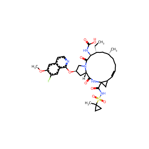 CC[C@@H]1C[C@H](C)CC/C=C\C2CC2(C(=O)NS(=O)(=O)C2(C)CC2)NC(=O)[C@@H]2C[C@@H](Oc3nccc4cc(OC)c(F)cc34)CN2C(=O)[C@H]1NC(=O)O